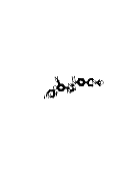 N#Cc1cc(-c2ncnc(Nc3ccc(C4CCN(C5COC5)CC4)cc3)n2)ccc1O[C@H]1CCNC[C@@H]1F